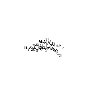 CCOC(=O)C(C)Oc1ccc2c(c1)N(C)C(=O)N(c1ccc(SC)cc1)S2(=O)=O